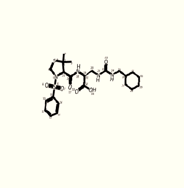 CC1(C)SCN(S(=O)(=O)c2ccccc2)C1C(=O)N[C@@H](CNC(=O)NCC1CCCCC1)C(=O)O